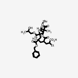 CCC(CC(CC(C)(CC(C)(CC(C)(C)C(=O)OC(C)(C)C)C(=O)OCC(C)O)C(=O)OCc1ccccc1)C(=O)OCCOC)C(=O)O